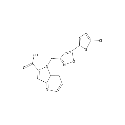 O=C(O)c1cc2ncccc2n1Cc1cc(-c2ccc(Cl)s2)on1